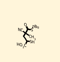 CCCCSC(=O)C(C)(C#N)CC(S)C(=O)O